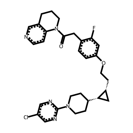 O=C(Cc1ccc(OCC[C@@H]2C[C@@H]2C2CCN(c3ncc(Cl)cn3)CC2)cc1F)N1CCCc2cnccc21